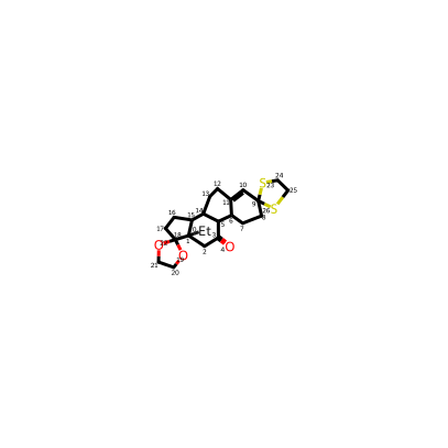 CCC12CC(=O)C3C4CCC5(C=C4CCC3C1CCC21OCCO1)SCCS5